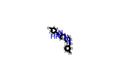 Cc1ccc(-c2nc(CN3CCN(Cc4cccc(C)c4)CC3)c(C)[nH]2)cc1